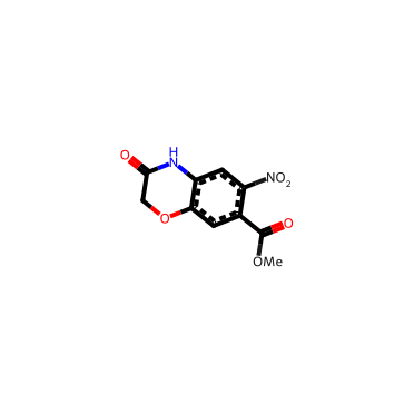 COC(=O)c1cc2c(cc1[N+](=O)[O-])NC(=O)CO2